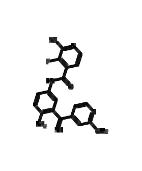 COc1cc(C(=N)c2cc(NC(=O)c3ccnc(C#N)c3F)ccc2N)ccn1